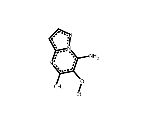 CCOc1c(C)nc2ccnn2c1N